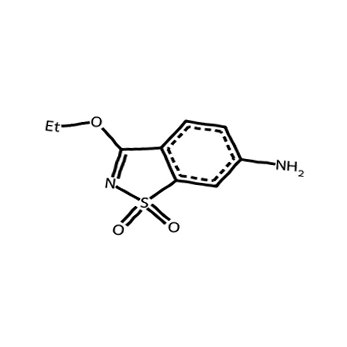 CCOC1=NS(=O)(=O)c2cc(N)ccc21